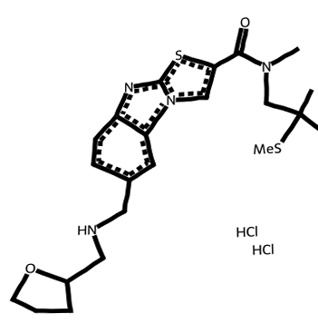 CSC(C)(C)CN(C)C(=O)c1cn2c(nc3ccc(CNCC4CCCO4)cc32)s1.Cl.Cl